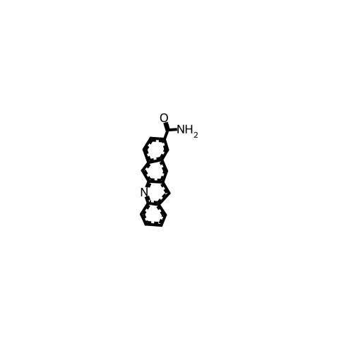 NC(=O)c1ccc2cc3nc4ccccc4cc3cc2c1